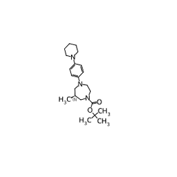 C[C@@H]1CN(C(=O)OC(C)(C)C)CCN(c2ccc(N3CCCCC3)cc2)C1